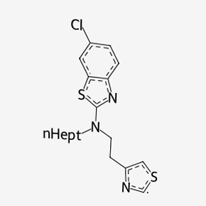 CCCCCCCN(CCc1cs[c]n1)c1nc2ccc(Cl)cc2s1